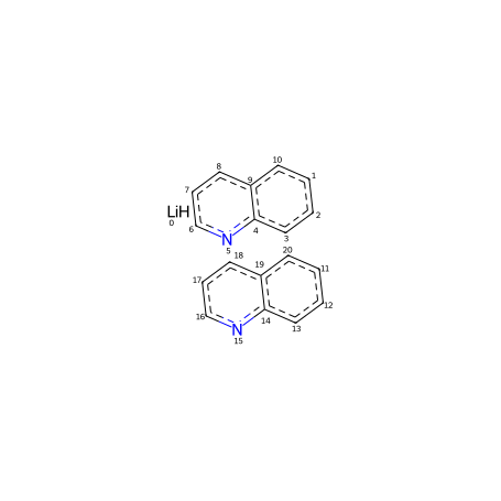 [LiH].c1ccc2ncccc2c1.c1ccc2ncccc2c1